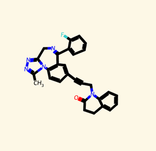 Cc1nnc2n1-c1ccc(C#CCN3C(=O)CCc4ccccc43)cc1C(c1ccccc1F)=NC2